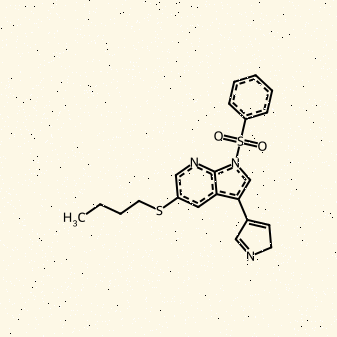 CCCCSc1cnc2c(c1)c(C1=CCN=C1)cn2S(=O)(=O)c1ccccc1